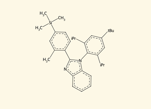 Cc1cc([Si](C)(C)C)ccc1-c1nc2ccccc2n1-c1c(C(C)C)cc(C(C)(C)C)cc1C(C)C